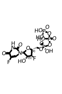 O=c1[nH]c(=O)n([C@@H]2O[C@H](COP(=O)(O)OP(=O)(O)OP(=O)(O)O)[C@@H](F)[C@H]2O)cc1F